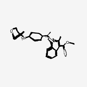 COC(=O)c1c(C)n([C@H](C)C2CCC(NC3(C)COC3)CC2)c2ccccc12